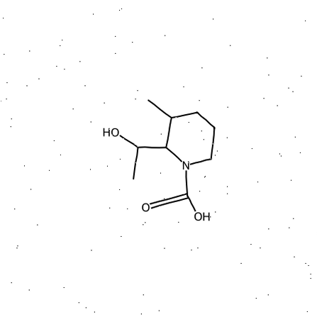 CC(O)C1C(C)CCCN1C(=O)O